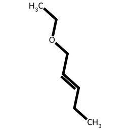 CCC=CCOCC